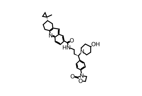 CC1([C@H]2CCc3nc4ccc(C(=O)NCC[C@H](c5ccc(N6CCOC6=O)cc5)N5CCC(O)CC5)cc4cc3C2)CC1